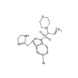 C=CC(N1CCOCC1)S(=O)(=O)c1cn(CC2=NCCN2)c2cc(Br)ccc12